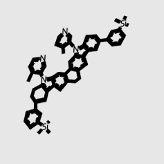 Cc1ccncc1-n1c2c(c3cc4c(cc31)-c1cc3c(cc1CC4)c1cc(-c4cccc([Si](C)(C)C)c4)ccc1n3-c1cnccc1C)C=C(c1cccc([Si](C)(C)C)c1)CC2